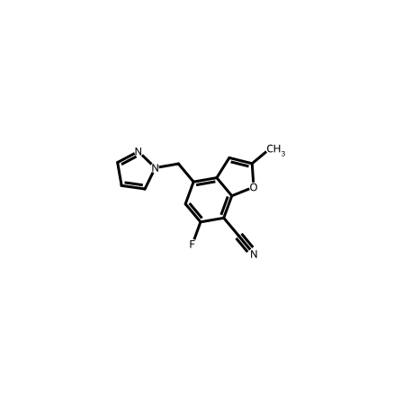 Cc1cc2c(Cn3cccn3)cc(F)c(C#N)c2o1